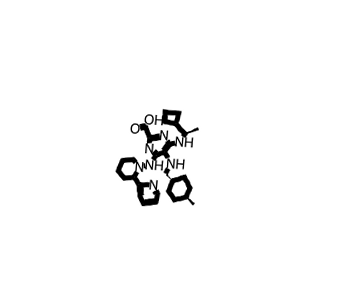 C[C@@H](Nc1nc(C(=O)O)nc(NN2CCCCC2c2ccccn2)c1NC[C@H]1CC[C@H](C)CC1)C1CCC1